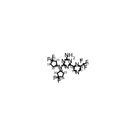 Nc1nc(-c2cncc(C(F)(F)F)n2)nc(N([C@@H]2CCC(F)(F)C2)[C@@H]2CCC(F)(F)C2)n1